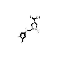 Cn1cc(OC[C@H]2CN(C(=O)O)C[C@@H]2O)cn1